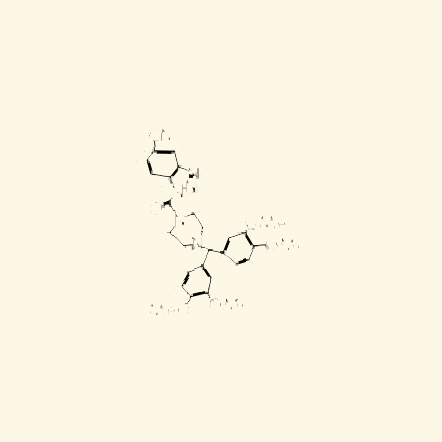 COc1ccc(C(c2ccc(OC)c(OC)c2)N2CCN(C(=O)n3nnc4cc(C#N)ccc43)CC2)cc1OC